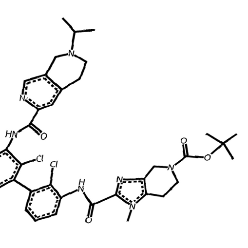 CC(C)N1CCc2cc(C(=O)Nc3cccc(-c4cccc(NC(=O)c5nc6c(n5C)CCN(C(=O)OC(C)(C)C)C6)c4Cl)c3Cl)ncc2C1